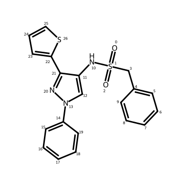 O=S(=O)(Cc1ccccc1)Nc1cn(-c2ccccc2)nc1-c1cccs1